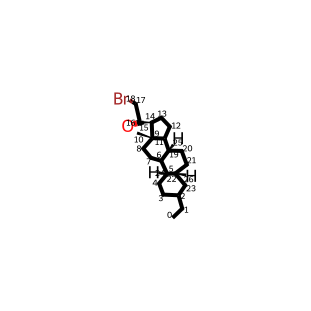 CCC1CC[C@@H]2C3CC[C@@]4(C)C(CC[C@@H]4C(=O)CBr)[C@@H]3CC[C@@H]2C1